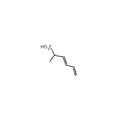 C=CC=CC(C)C(=O)O